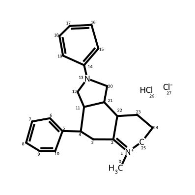 C[N+]1=C2CC(c3ccccc3)C3CN(c4ccccc4)CC3C2CCC1.Cl.[Cl-]